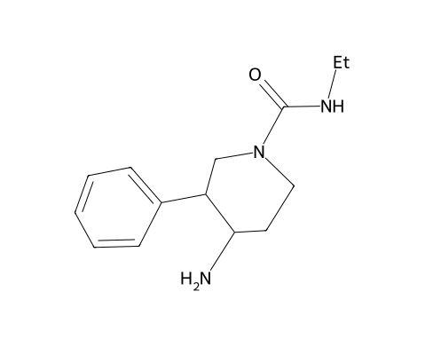 CCNC(=O)N1CCC(N)C(c2ccccc2)C1